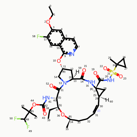 CCOc1cc2ccnc(O[C@@H]3C[C@H]4C(=O)N[C@]5(C(=O)NS(=O)(=O)C6(C)CC6)C[C@H]5/C=C\CC[C@@H](C)O[C@@H](CC)[C@H](NC(=O)OC(C)(C)C(F)F)C(=O)N4C3)c2cc1F